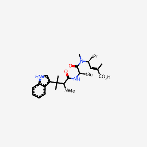 CNC(C(=O)NC(C(=O)N(C)[C@H](/C=C(\C)C(=O)O)C(C)C)C(C)(C)C)C(C)(C)c1c[nH]c2ccccc12